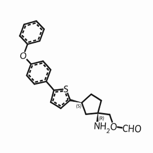 N[C@]1(COC=O)CC[C@H](c2ccc(-c3ccc(Oc4ccccc4)cc3)s2)C1